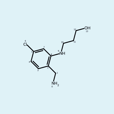 NCc1ccc(Cl)cc1NCCCO